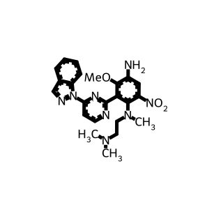 COc1c(N)cc([N+](=O)[O-])c(N(C)CCN(C)C)c1-c1nccc(-n2ncc3ccccc32)n1